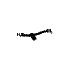 CCCCCCCCCCCCCCCn1cc[n+](CCCCCCCC)c1Cc1ccccc1